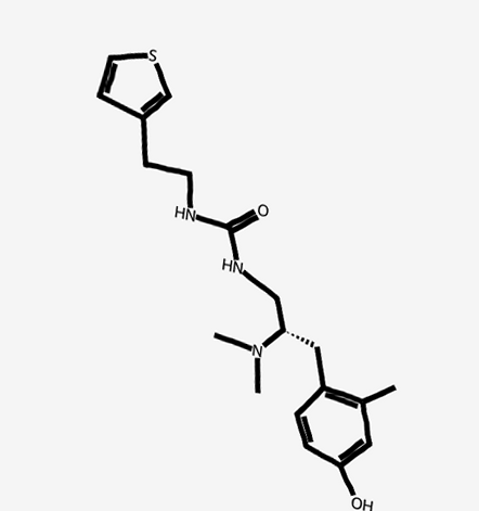 Cc1cc(O)ccc1C[C@@H](CNC(=O)NCCc1ccsc1)N(C)C